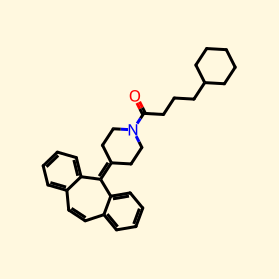 O=C(CCCC1CCCCC1)N1CCC(=C2c3ccccc3C=Cc3ccccc32)CC1